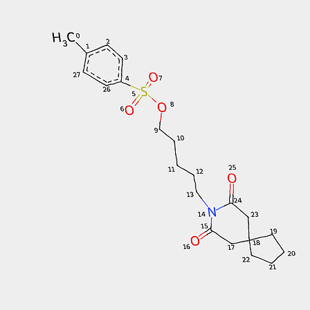 Cc1ccc(S(=O)(=O)OCCCCCN2C(=O)CC3(CCCC3)CC2=O)cc1